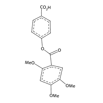 COc1cc(OC)c(C(=O)Oc2ccc(C(=O)O)cc2)cc1OC